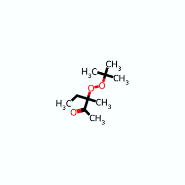 CCC(C)(OOC(C)(C)C)C(C)=O